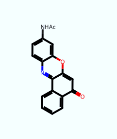 CC(=O)Nc1ccc2nc3c4ccccc4c(=O)cc-3oc2c1